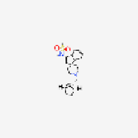 CN([C@H]1CC2(CCN(C[C@H]3C[C@H]4CC[C@H]3C4)CC2)c2ccccc21)S(C)(=O)=O